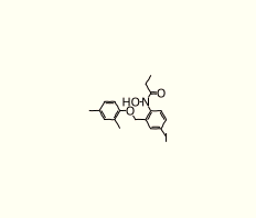 CCC(=O)N(O)c1ccc(I)cc1COc1ccc(C)cc1C